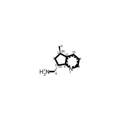 C[C@@H]1C[C@@H](CN)c2ncccc21